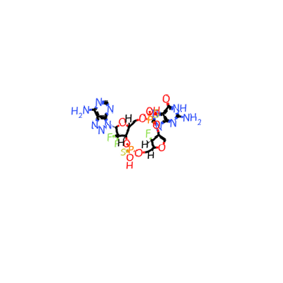 Nc1nc2c(ncn2[C@@]23CO[C@H](COP(O)(=S)O[C@@H]4[C@@H](COP(O)(=S)O2)O[C@@H](n2nnc5c(N)ncnc52)C4(F)F)[C@H]3F)c(=O)[nH]1